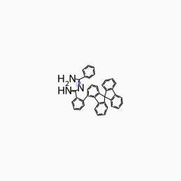 N=C(/N=C(\N)c1ccccc1)c1ccccc1-c1cccc2c1-c1ccccc1C21c2ccccc2-c2ccccc21